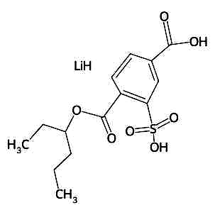 CCCC(CC)OC(=O)c1ccc(C(=O)O)cc1S(=O)(=O)O.[LiH]